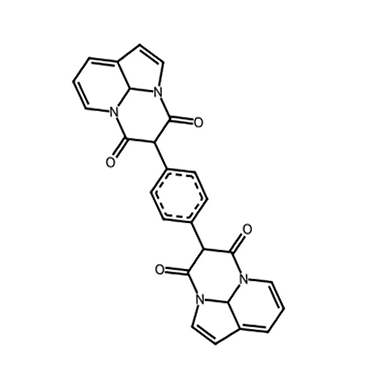 O=C1C(c2ccc(C3C(=O)N4C=CC=C5C=CN(C3=O)C54)cc2)C(=O)N2C=CC3=CC=CN1C32